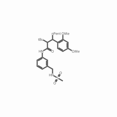 CCCCCC(c1ccc(OC)cc1OC)C(C(=O)Nc1cccc(CNS(C)(=O)=O)c1)C(C)(C)C